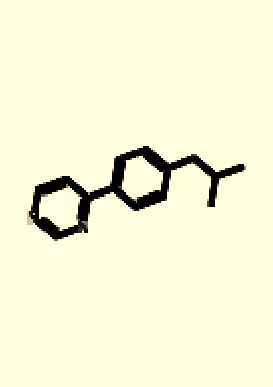 CC(C)Cc1ccc(-c2ccncn2)cc1